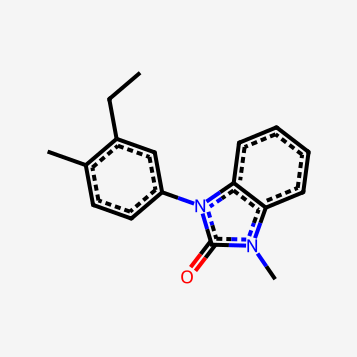 CCc1cc(-n2c(=O)n(C)c3ccccc32)ccc1C